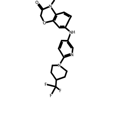 CN1C(=O)COc2cc(Nc3ccc(N4CCC(C(F)(F)F)CC4)nc3)ccc21